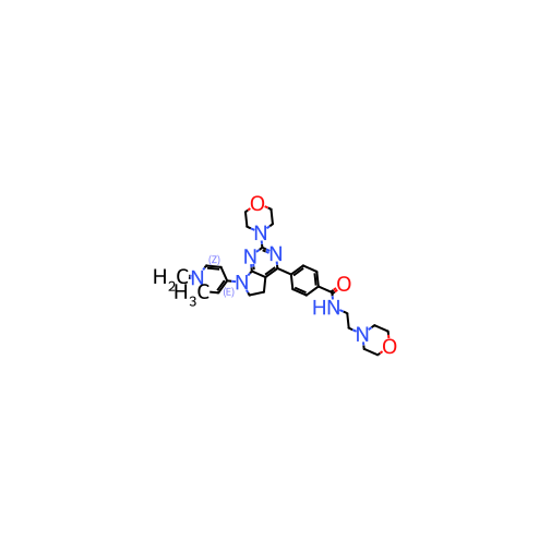 C=N/C=C\C(=C/C)N1CCc2c(-c3ccc(C(=O)NCCN4CCOCC4)cc3)nc(N3CCOCC3)nc21